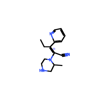 CC/C(=C(/C#N)N1CCNCC1C)c1ccccn1